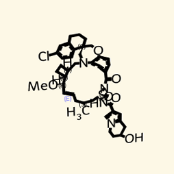 CO[C@H]1/C=C/C[C@H](C)C[S@@](=O)(NC(=O)c2cc3n(c2)CCC(O)C3)=NC(=O)c2ccc3c(c2)N(C[C@@H]2CC[C@H]21)C[C@@]1(CCCc2cc(Cl)ccc21)CO3